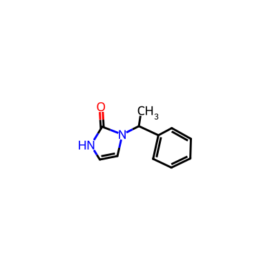 CC(c1ccccc1)n1cc[nH]c1=O